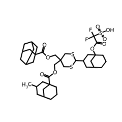 CC1CC2CCCC(C(=O)OCC3(COC(=O)C45CC6CC(CC(C6)C4)C5)CSC(C4CC5CCCC(OC(=O)C(F)(F)S(=O)(=O)O)(C5)C4)SC3)(C1)C2